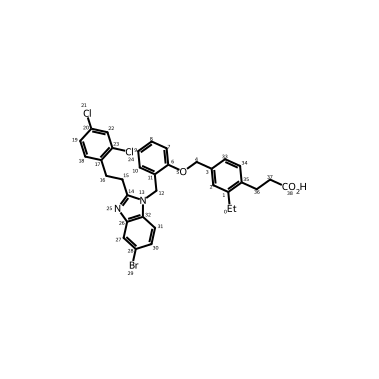 CCc1cc(COc2ccccc2Cn2c(CCc3ccc(Cl)cc3Cl)nc3cc(Br)ccc32)ccc1CCC(=O)O